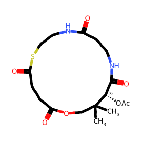 CC(=O)O[C@H]1C(=O)NCCC(=O)NCCSC(=O)CCC(=O)OCC1(C)C